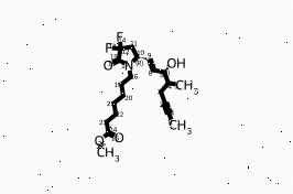 CC#CCC(C)[C@@H](O)C=C[C@H]1CC(F)(F)C(=O)N1CCCCCCC(=O)OC